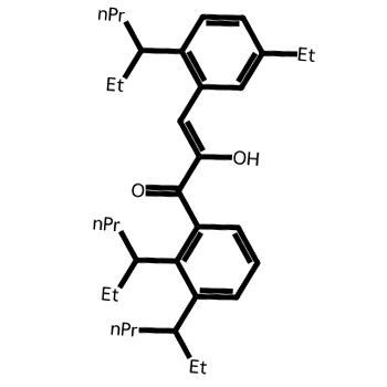 CCCC(CC)c1ccc(CC)cc1C=C(O)C(=O)c1cccc(C(CC)CCC)c1C(CC)CCC